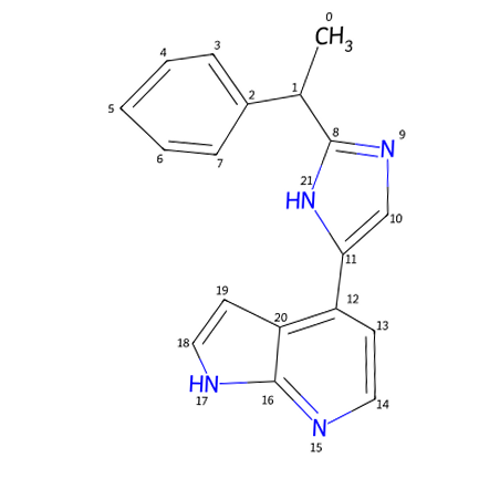 CC(c1ccccc1)c1ncc(-c2ccnc3[nH]ccc23)[nH]1